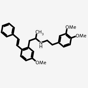 COc1ccc(C=Cc2ccccc2)c(CC(C)NCCc2ccc(OC)c(OC)c2)c1